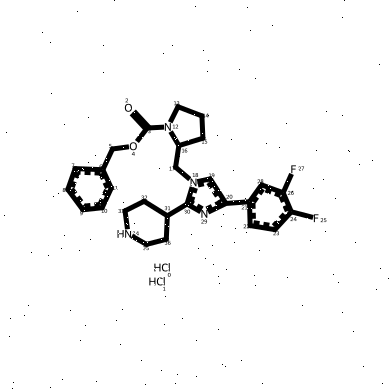 Cl.Cl.O=C(OCc1ccccc1)N1CCCC1Cn1cc(-c2ccc(F)c(F)c2)nc1C1CCNCC1